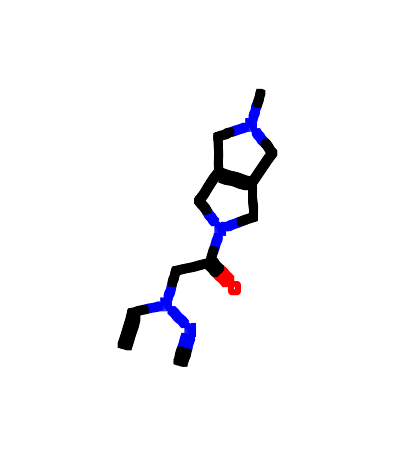 C=CN(CC(=O)N1CC2=C(CN(C)C2)C1)N=C